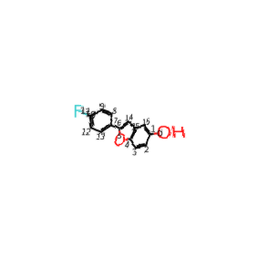 Oc1ccc2oc(-c3ccc(F)cc3)cc2c1